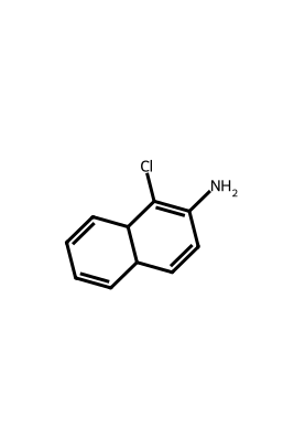 NC1=C(Cl)C2C=CC=CC2C=C1